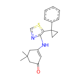 CC1(C)CC(=O)C=C(Nc2ncsc2C2(c3ccccc3)CC2)C1